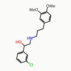 COc1ccc(C[CH]CNCC(O)c2cccc(Cl)c2)cc1OC